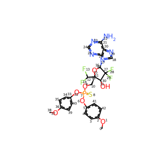 COc1ccc(OP(=S)(OC[C@@]2(C(F)F)O[C@@H](n3cnc4c(N)ncnc43)C(F)(F)C2O)Oc2ccc(OC)cc2)cc1